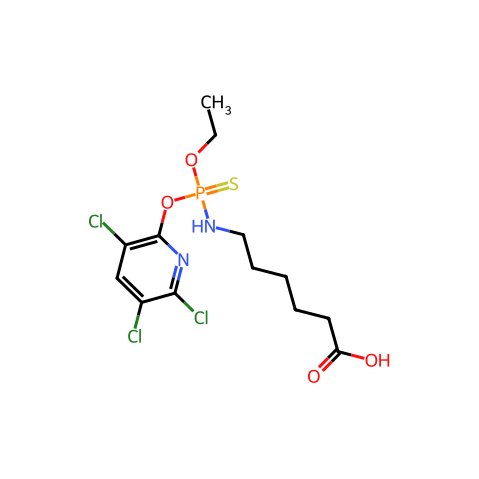 CCOP(=S)(NCCCCCC(=O)O)Oc1nc(Cl)c(Cl)cc1Cl